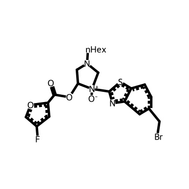 CCCCCCN1CC(OC(=O)c2cc(F)co2)[N+]([O-])(c2nc3cc(CBr)ccc3s2)C1